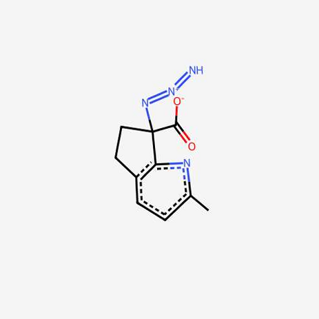 Cc1ccc2c(n1)C(N=[N+]=N)(C(=O)[O-])CC2